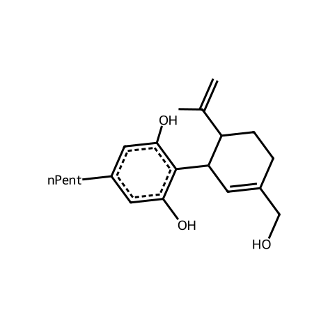 C=C(C)C1CCC(CO)=CC1c1c(O)cc(CCCCC)cc1O